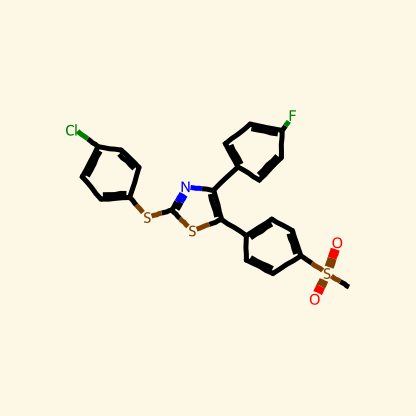 CS(=O)(=O)c1ccc(-c2sc(Sc3ccc(Cl)cc3)nc2-c2ccc(F)cc2)cc1